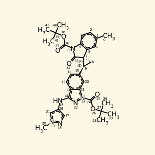 Cc1ccc2c(c1)[C@]1(C[C@H]1c1ccc3c(Nc4cnn(C)c4)nn(C(=O)OC(C)(C)C)c3c1)C(=O)N2C(=O)OC(C)(C)C